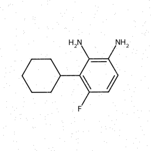 Nc1ccc(F)c(C2CCCCC2)c1N